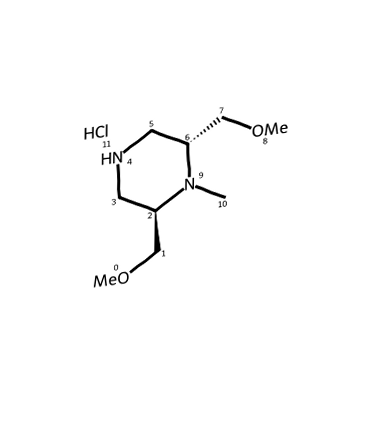 COC[C@H]1CNC[C@H](COC)N1C.Cl